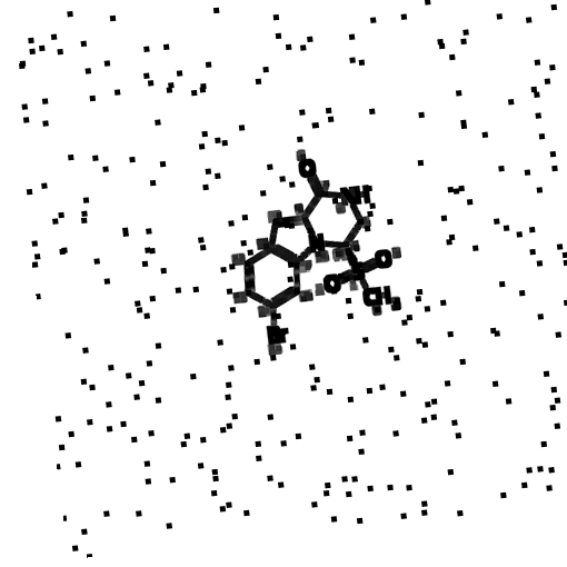 CS(=O)(=O)[C@@H]1CNC(=O)c2cc3ccc(Br)cc3n21